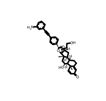 C[C@]12C=CC(=O)C=C1CC[C@@H]1[C@@H]2[C@@H](O)C[C@@]2(C)[C@H]1C[C@H]1O[C@H](c3ccc(C#Cc4cccc(N)c4)cc3)O[C@]12C(=O)CCO